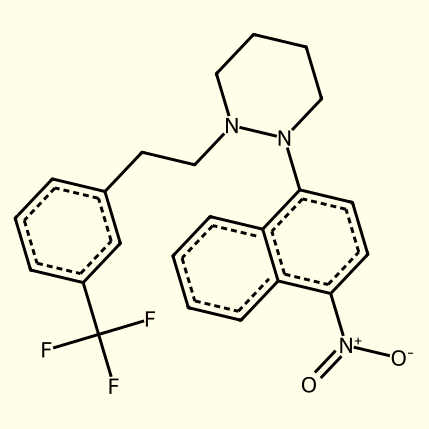 O=[N+]([O-])c1ccc(N2CCCCN2CCc2cccc(C(F)(F)F)c2)c2ccccc12